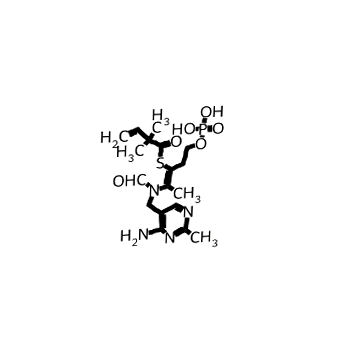 C=CC(C)(C)C(=O)S/C(CCOP(=O)(O)O)=C(/C)N(C=O)Cc1cnc(C)nc1N